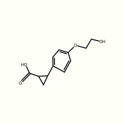 O=C(O)C1CC1c1ccc(OCCO)cc1